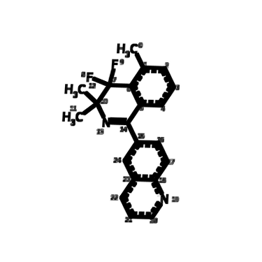 Cc1cccc2c1C(F)(F)C(C)(C)N=C2c1ccc2ncccc2c1